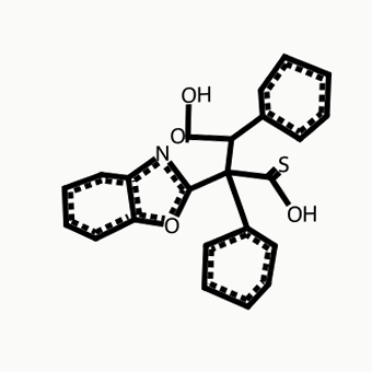 O=C(O)C(c1ccccc1)C(C(O)=S)(c1ccccc1)c1nc2ccccc2o1